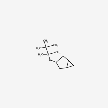 CC(C)(C)[Si](C)(C)OC1CC2CC2C1